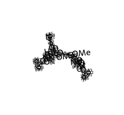 C=C1C[C@@H](C2OCCN2C(=O)OCC2c3ccccc3-c3ccccc32)N(C(=O)c2cc(OC)c(OCCCCCOc3cc(NC(=O)OCCSSc4ccccn4)c(C(=O)N4CC(=C)C[C@H]4C4OCCN4C(=O)OCC4c5ccccc5-c5ccccc54)cc3OC)cc2N)C1